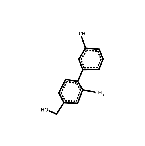 Cc1cccc(-c2ccc(CO)cc2C)c1